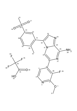 COc1nccc(-c2cn3c(-c4cc(S(C)(=O)=O)ccc4C)cnc3c(N)n2)c1F.O=C(O)C(F)(F)F